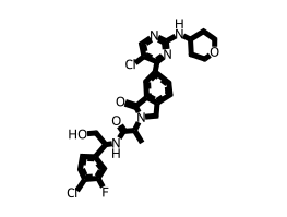 CC(C(=O)NC(CO)c1ccc(Cl)c(F)c1)N1Cc2ccc(-c3nc(NC4CCOCC4)ncc3Cl)cc2C1=O